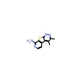 Cc1nnc2sc3c(N)nccc3c2c1C